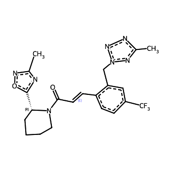 Cc1noc([C@H]2CCCCN2C(=O)/C=C/c2ccc(C(F)(F)F)cc2Cn2nnc(C)n2)n1